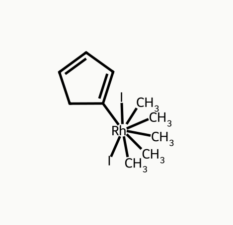 [CH3][Rh]([CH3])([CH3])([CH3])([CH3])([I])([I])[C]1=CC=CC1